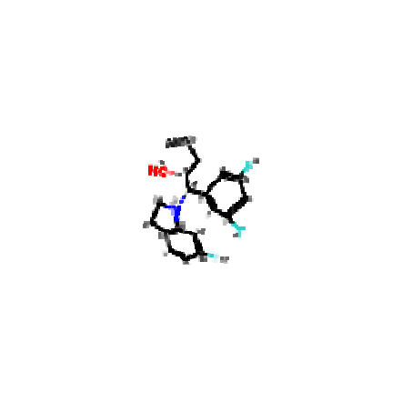 CNC[C@@H](O)[C@H](c1cc(F)cc(F)c1)N1CCc2ccc(F)cc21